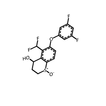 [O-][S+]1CCC(O)c2c1ccc(Oc1cc(F)cc(F)c1)c2C(F)F